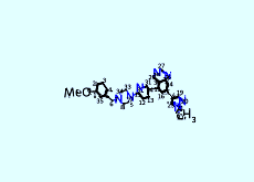 COc1cccc(CN2CCN(c3ccc(-c4cc(-c5cnn(C)c5)cc5ncncc45)cn3)CC2)c1